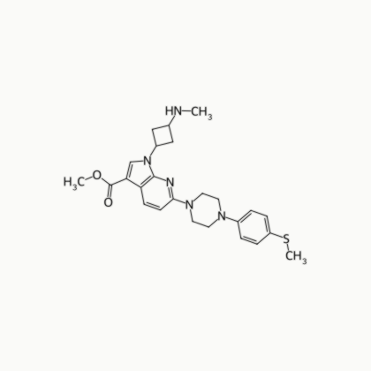 CNC1CC(n2cc(C(=O)OC)c3ccc(N4CCN(c5ccc(SC)cc5)CC4)nc32)C1